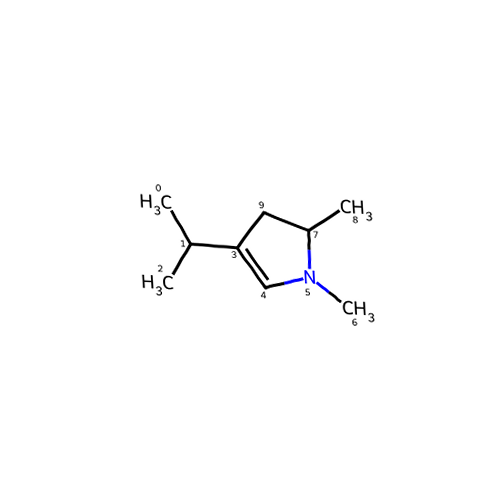 CC(C)C1=CN(C)C(C)C1